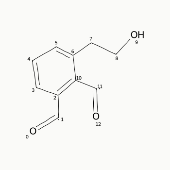 O=[C]c1cccc(CCO)c1[C]=O